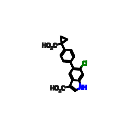 O=C(O)c1c[nH]c2cc(Cl)c(-c3ccc(C4(C(=O)O)CC4)cc3)cc12